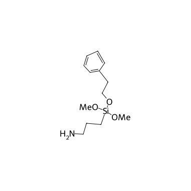 CO[Si](CCCN)(OC)OCCc1ccccc1